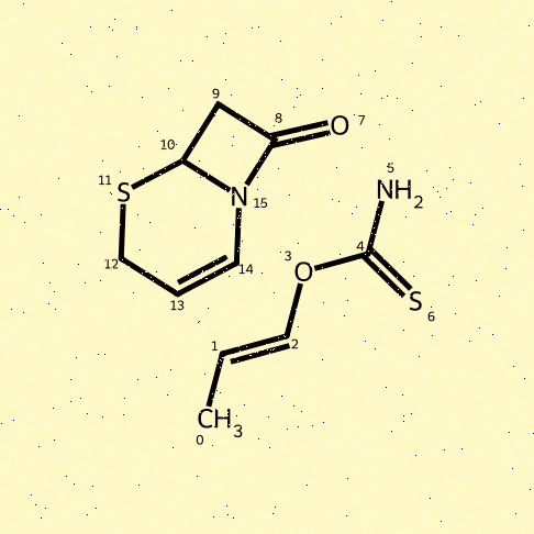 CC=COC(N)=S.O=C1CC2SCC=CN12